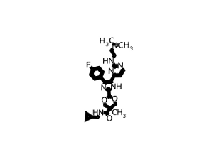 CN(C)CCNc1nccc(-c2[nH]c(C3OCC(C)(C(=O)NCC4CC4)CO3)nc2-c2ccc(F)cc2)n1